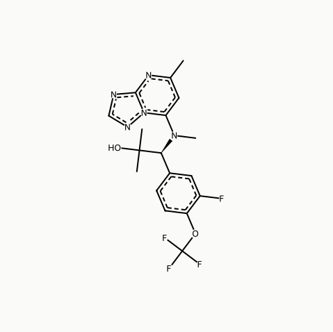 Cc1cc(N(C)[C@@H](c2ccc(OC(F)(F)F)c(F)c2)C(C)(C)O)n2ncnc2n1